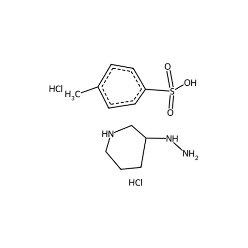 Cc1ccc(S(=O)(=O)O)cc1.Cl.Cl.NNC1CCCNC1